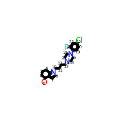 O=C1CCCc2c1ccn2CCCCN1CCN(c2ccc(Cl)cc2F)CC1